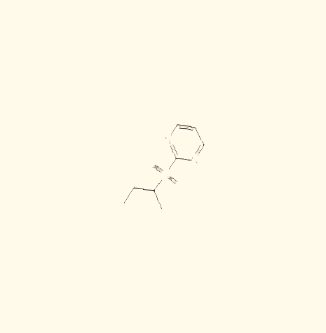 CCC(C)S(=O)(=O)c1ncccn1